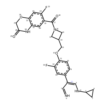 N=C/C(=C\NC1CC1)c1ccc(OCC2CN(C(=O)c3cc4c(cc3F)OCC(=O)N4)C2)c(F)c1